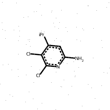 CC(C)c1cc(N)nc(Cl)c1Cl